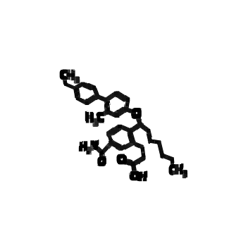 CCCCCCC(Oc1ccc(-c2ccc(CC)cc2)c(C)c1)c1ccc(C(N)=O)cc1CCC(=O)O